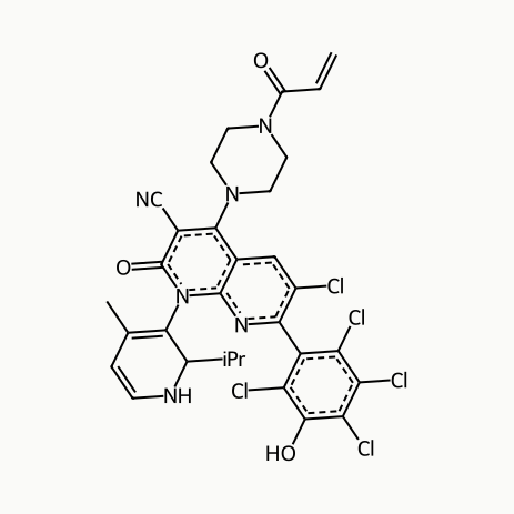 C=CC(=O)N1CCN(c2c(C#N)c(=O)n(C3=C(C)C=CNC3C(C)C)c3nc(-c4c(Cl)c(O)c(Cl)c(Cl)c4Cl)c(Cl)cc23)CC1